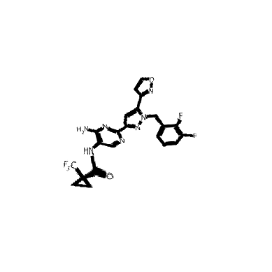 Nc1nc(-c2cc(-c3ccon3)n(Cc3cccc(F)c3F)n2)ncc1NC(=O)C1(C(F)(F)F)CC1